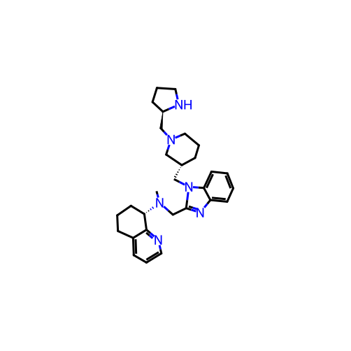 CN(Cc1nc2ccccc2n1C[C@H]1CCCN(C[C@H]2CCCN2)C1)[C@H]1CCCc2cccnc21